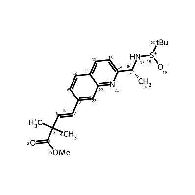 COC(=O)C(C)(C)/C=C/c1ccc2ccc([C@@H](C)N[S+]([O-])C(C)(C)C)nc2c1